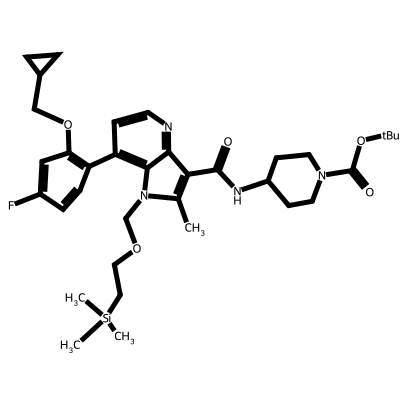 Cc1c(C(=O)NC2CCN(C(=O)OC(C)(C)C)CC2)c2nccc(-c3ccc(F)cc3OCC3CC3)c2n1COCC[Si](C)(C)C